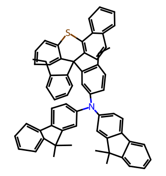 CCc1ccccc1C1(c2cc(N(c3ccc4c(c3)C(C)(C)c3ccccc3-4)c3ccc4c(c3)C(C)(C)c3ccccc3-4)ccc2CC)c2ccccc2Sc2c1ccc1ccccc21